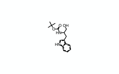 CC(C)(C)OC(=O)NC(CO)Cc1c[nH]c2ccccc12